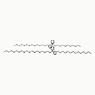 CCCCCCCCCCCCCCCCCCCC(=O)OCCCCCCCCCCCCCC.CCCCCCCCCCCCCCOC(=O)CCCCCCCCCCC